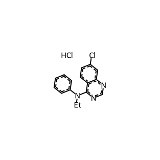 CCN(c1ccccc1)c1ncnc2cc(Cl)ccc12.Cl